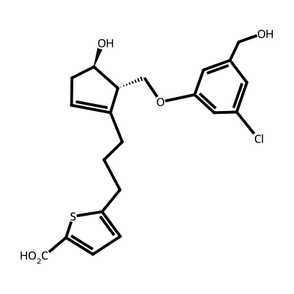 O=C(O)c1ccc(CCCC2=CC[C@@H](O)[C@@H]2COc2cc(Cl)cc(CO)c2)s1